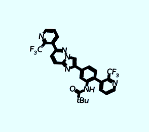 CC(C)(C)C(=O)Nc1cc(-c2cn3nc(-c4cccnc4C(F)(F)F)ccc3n2)ccc1-c1cccnc1C(F)(F)F